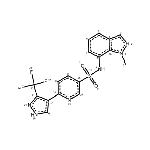 Cn1ncc2cccc(NS(=O)(=O)c3ccc(-c4c[nH]nc4C(F)(F)F)nc3)c21